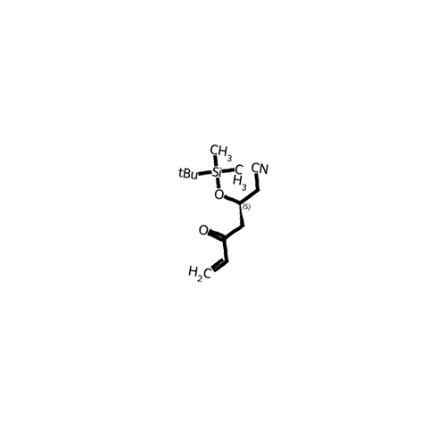 C=CC(=O)C[C@H](CC#N)O[Si](C)(C)C(C)(C)C